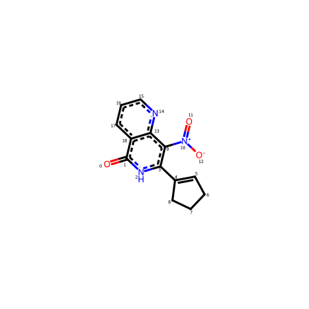 O=c1[nH]c(C2=CCCC2)c([N+](=O)[O-])c2ncccc12